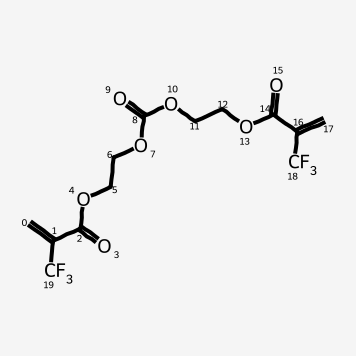 C=C(C(=O)OCCOC(=O)OCCOC(=O)C(=C)C(F)(F)F)C(F)(F)F